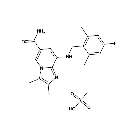 CS(=O)(=O)O.Cc1cc(F)cc(C)c1CNc1cc(C(N)=O)cn2c(C)c(C)nc12